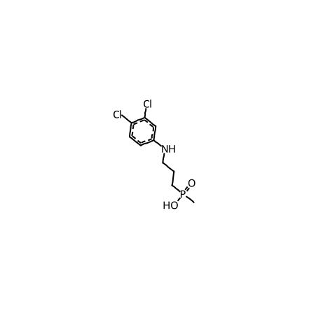 CP(=O)(O)CCCNc1ccc(Cl)c(Cl)c1